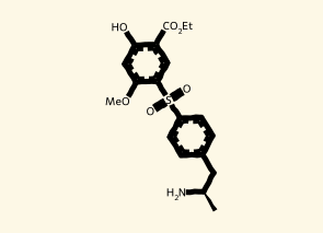 CCOC(=O)c1cc(S(=O)(=O)c2ccc(C[C@@H](C)N)cc2)c(OC)cc1O